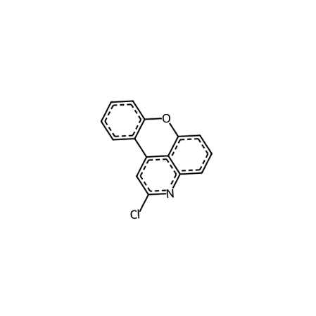 Clc1cc2c3c(cccc3n1)Oc1ccccc1-2